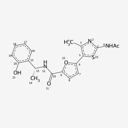 CC(=O)Nc1nc(C)c(-c2ccc(C(=O)N[C@H](C)c3ccccc3O)o2)s1